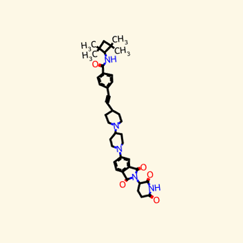 CC1(C)CC(C)(C)C1NC(=O)c1ccc(C#CC2CCN(C3CCN(c4ccc5c(c4)C(=O)N(C4CCC(=O)NC4=O)C5=O)CC3)CC2)cc1